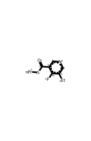 CCCSC(=O)c1cncc(CC)c1F